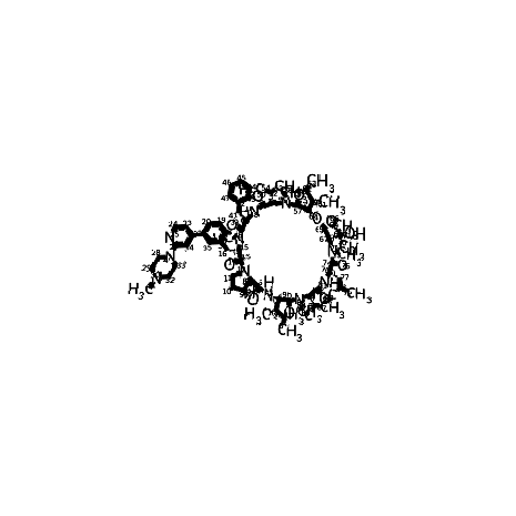 CC[C@H](C)[C@@H]1NC(=O)[C@@H]2CCCN2C(=O)[C@H](Cc2cccc(-c3ccnc(N4CCN(C)CC4)c3)c2)N(C)C(=O)[C@H](Cc2ccccc2)NC(=O)[C@H](C(C)C)N(C)C(=O)[C@@H]([C@@H](C)CC)OC(=O)[C@H](C(C)(C)O)N(C)C(=O)[C@H](CC(C)C)NC(=O)[C@H](C(C)C)N(C)C1=O